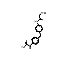 CC(C)(C)CC(=O)Nc1ccc(Cc2ccc(NC(=O)C(C)(C)C)cc2)cc1